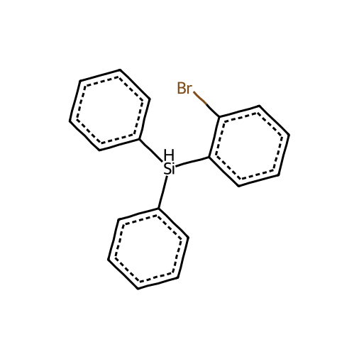 Brc1ccccc1[SiH](c1ccccc1)c1ccccc1